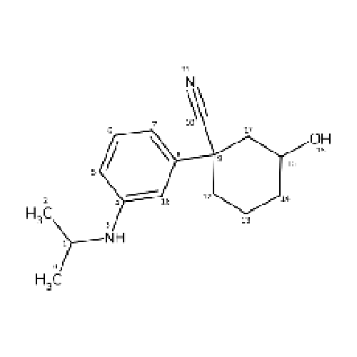 CC(C)Nc1cccc(C2(C#N)CCCC(O)C2)c1